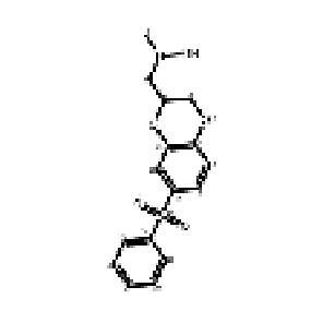 CN(O)CC1COc2ccc(S(=O)(=O)c3ccccc3)cc2O1